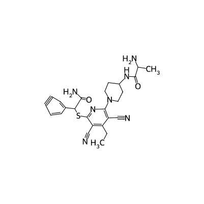 CCc1c(C#N)c(SC(C(N)=O)c2cc#ccc2)nc(N2CCC(NC(=O)C(C)N)CC2)c1C#N